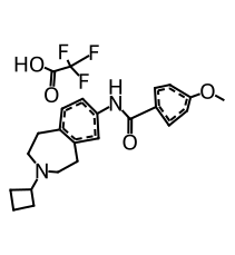 COc1ccc(C(=O)Nc2ccc3c(c2)CCN(C2CCC2)CC3)cc1.O=C(O)C(F)(F)F